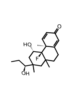 CC[C@H](O)C1(C)C[C@H](O)[C@@]2(F)C(C)(CCC3=CC(=O)C=C[C@@]32C)C1